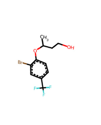 CC(CCO)Oc1ccc(C(F)(F)F)cc1Br